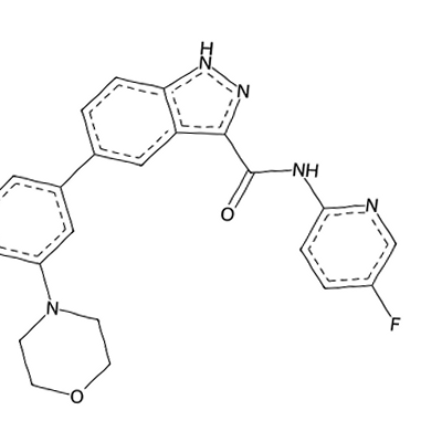 O=C(Nc1ccc(F)cn1)c1n[nH]c2ccc(-c3cncc(N4CCOCC4)c3)cc12